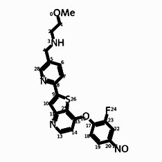 COCCNCc1ccc(-c2cc3nccc(Oc4ccc(N=O)cc4F)c3s2)nc1